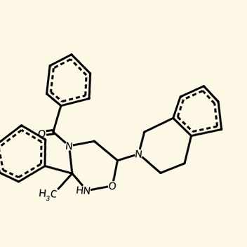 CC1(c2ccccc2)NOC(N2CCc3ccccc3C2)CN1C(=O)c1ccccc1